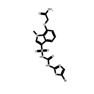 Cn1cc(S(=O)(=O)NC(=O)Nc2ncc(Br)s2)c2cccc(OCC(N)=O)c21